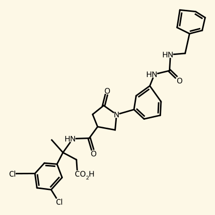 CC(CC(=O)O)(NC(=O)C1CC(=O)N(c2cccc(NC(=O)NCc3ccccc3)c2)C1)c1cc(Cl)cc(Cl)c1